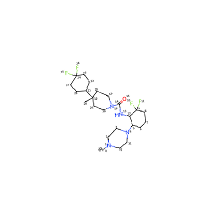 CC(C)N1CCN(C2CCCC(F)(F)C2NC(=O)N2CCC(C)(C3CCC(F)(F)CC3)CC2)CC1